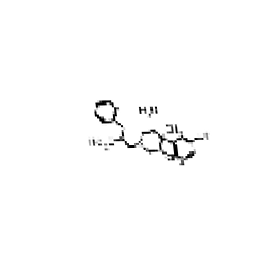 C[C@H]1CN(C[C@H](Cc2ccccc2)C(=O)O)CC[C@@]1(C)c1cccc(O)c1.O